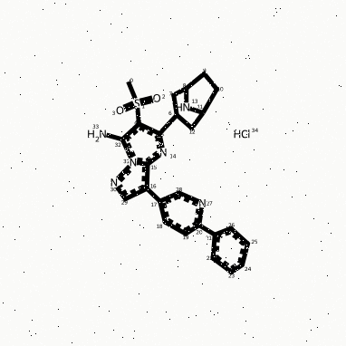 CS(=O)(=O)c1c(C2CC3CCC(C2)N3)nc2c(-c3ccc(-c4ccccc4)nc3)cnn2c1N.Cl